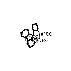 CCCCCCCCCCc1ccccc1C(Cl)(c1ccccc1CCCCCCCCCC)c1ccccc1CCCCCCCCCC